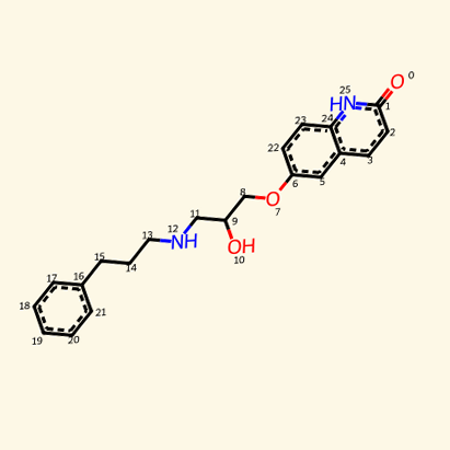 O=c1ccc2cc(OCC(O)CNCCCc3ccccc3)ccc2[nH]1